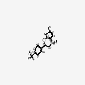 Fc1ccc2c(c1)OC(c1ccc(C(F)(F)F)cc1)CN2